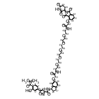 CN(C)C(=O)c1ccc(-c2cc(C(=O)N[C@@H]3CCc4ccc(OCC(=O)NCCOCCOCCOCCOCCOCCNC(=O)COc5cccc6c5C(=O)N(C5CCC(=O)NC5=O)C6=O)cc43)no2)cc1O